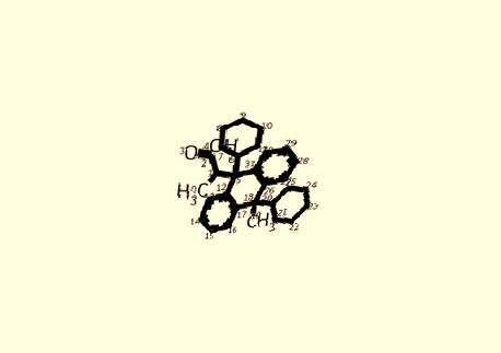 CC(C(=O)O)C1(C2CCCCC2)c2ccccc2C(C)(C2CCCCC2)c2ccccc21